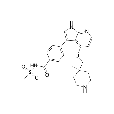 CC1(COc2ccnc3[nH]cc(-c4ccc(C(=O)NS(C)(=O)=O)cc4)c23)CCNCC1